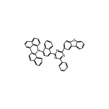 c1ccc(-c2nc(-c3ccc4sc5ccccc5c4c3)nc(-c3ccc(N4c5c(ccc6ccccc56)-c5cccc6cccc4c56)c4ccccc34)n2)cc1